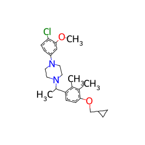 COc1cc(N2CCN(C(C)c3ccc(OCC4CC4)c(C)c3C)CC2)ccc1Cl